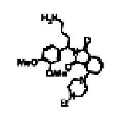 CCN1CCN(c2cccc3c2C(=O)N(C(CCCN)c2ccc(OC)c(OC)c2)C3=O)CC1